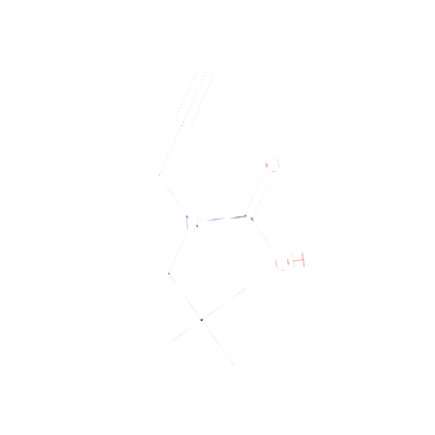 C#CCN(CC(C)(C)C)C(=O)O